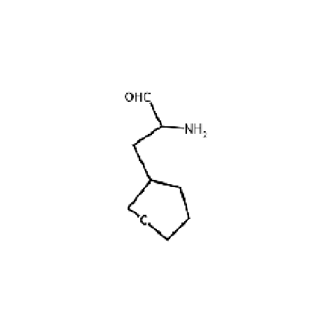 NC(C=O)CC1CCCCC1